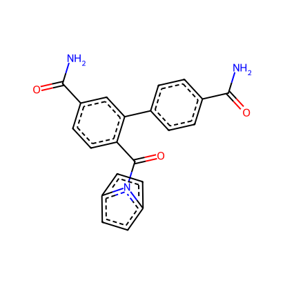 NC(=O)c1ccc(-c2cc(C(N)=O)ccc2C(=O)n2c3ccc2cc3)cc1